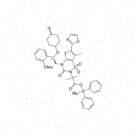 COc1ccccc1[C@H](CN1C(=O)N(C(C)(C)C(=O)O[Si](c2ccccc2)(c2ccccc2)C(C)(C)C)S(=O)(=O)c2c1sc(-c1ncco1)c2C)OC1CCC(=O)CC1